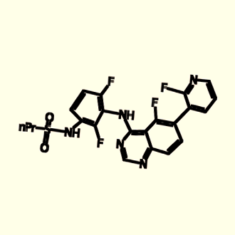 CCCS(=O)(=O)Nc1ccc(F)c(Nc2ncnc3ccc(-c4cccnc4F)c(F)c23)c1F